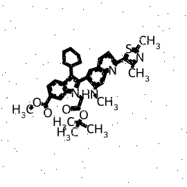 CNc1cc2nc(-c3sc(C)nc3C)ccc2cc1-c1c(C2CCCCC2)c2ccc(C(=O)OC)cc2n1CC(=O)OC(C)(C)C